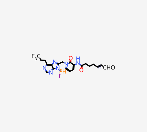 O=C/C=C/CCCC(=O)Nc1cccn(Cc2nc3c(CCC(F)(F)F)ncnc3n2PI)c1=O